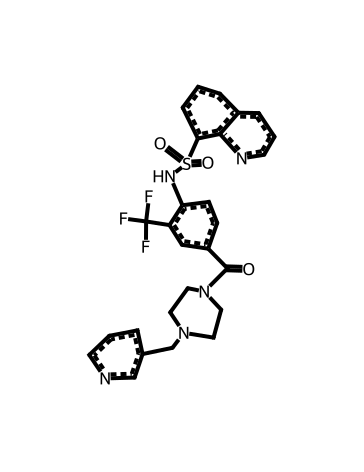 O=C(c1ccc(NS(=O)(=O)c2cccc3cccnc23)c(C(F)(F)F)c1)N1CCN(Cc2cccnc2)CC1